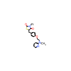 CC(C)N1C(=O)SC(Cc2ccc(OCCN(C)c3ccccn3)cc2)C1=O